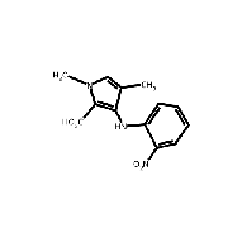 Cc1cn(C)c(C(=O)O)c1Nc1ccccc1[N+](=O)[O-]